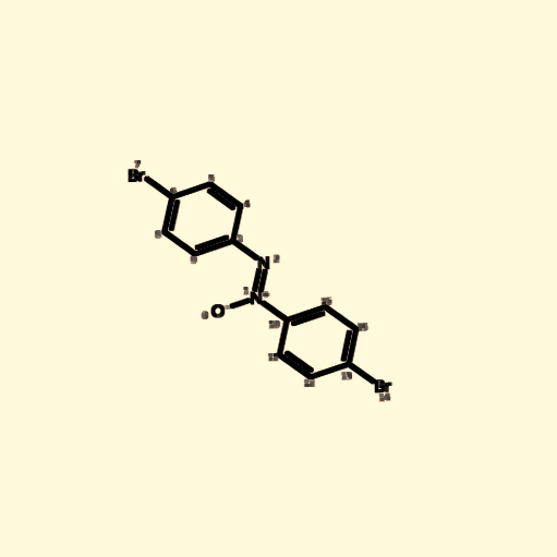 [O-][N+](=Nc1ccc(Br)cc1)c1ccc(Br)cc1